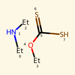 CCNCC.CCOC(=S)S